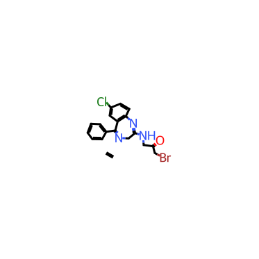 C=C.O=C(CBr)CNC1=Nc2ccc(Cl)cc2C(c2ccccc2)=NC1